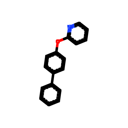 c1ccc(-c2ccc(Oc3ccccn3)cc2)cc1